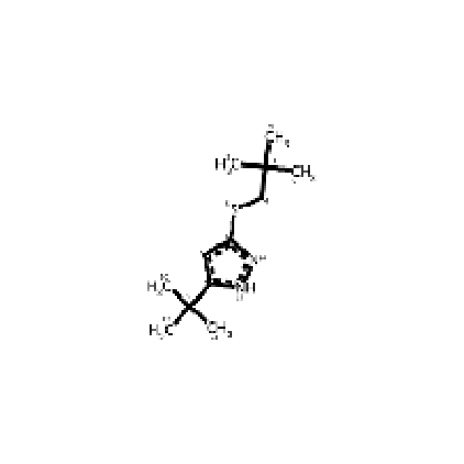 CC(C)(C)CSc1cc(C(C)(C)C)[nH]n1